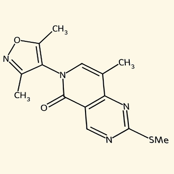 CSc1ncc2c(=O)n(-c3c(C)noc3C)cc(C)c2n1